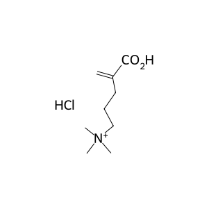 C=C(CCC[N+](C)(C)C)C(=O)O.Cl